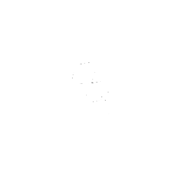 CC(C)(C)CN1CCC2(CCOCC2)CC1